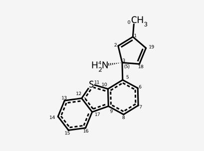 CC1=C[C@](N)(c2cccc3c2sc2ccccc23)C=C1